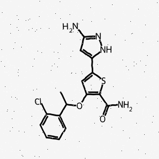 CC(Oc1cc(-c2cc(N)n[nH]2)sc1C(N)=O)c1ccccc1Cl